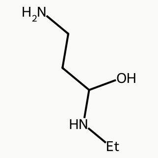 CCNC(O)CCN